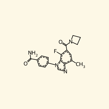 Cc1cc(C(=O)N2CCC2)c(F)c2c1ncn2-c1ccc(C(N)=O)cc1